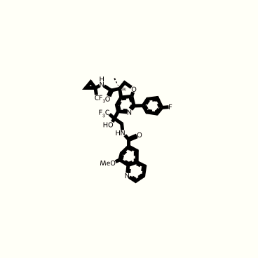 COc1cc(C(=O)NCC(O)(c2cc3c(c(-c4ccc(F)cc4)n2)OC[C@]3(C)C(=O)NC2(C(F)(F)F)CC2)C(F)(F)F)cc2cccnc12